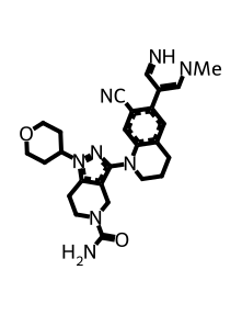 CN/C=C(\C=N)c1cc2c(cc1C#N)N(c1nn(C3CCOCC3)c3c1CN(C(N)=O)CC3)CCC2